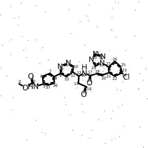 COC(=O)Nc1ccc(-c2cc(C(CC=O)NC(=O)/C=C/c3cc(Cl)ccc3-n3cnnn3)cnn2)cc1